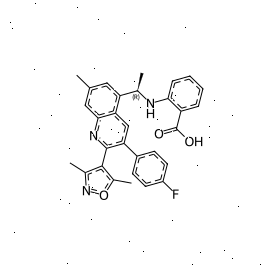 Cc1cc([C@@H](C)Nc2ccccc2C(=O)O)c2cc(-c3ccc(F)cc3)c(-c3c(C)noc3C)nc2c1